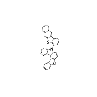 c1ccc2cc3c(cc2c1)sc1c(-n2c4ccccc4c4c5c(ccc42)oc2ccccc25)cccc13